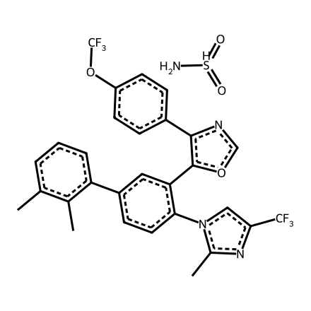 Cc1cccc(-c2ccc(-n3cc(C(F)(F)F)nc3C)c(-c3ocnc3-c3ccc(OC(F)(F)F)cc3)c2)c1C.N[SH](=O)=O